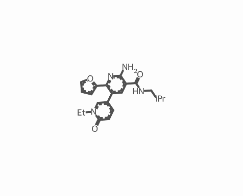 CCn1cc(-c2cc(C(=O)NCC(C)C)c(N)nc2-c2ccco2)ccc1=O